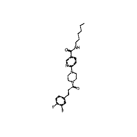 CCCCCCNC(=O)c1ccc(N2CCN(C(=O)CCc3ccc(F)c(F)c3)CC2)nc1